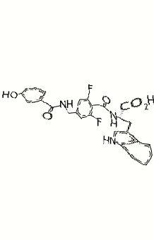 O=C(NCc1cc(F)c(C(=O)N[C@@H](Cc2c[nH]c3ccccc23)C(=O)O)c(F)c1)c1cccc(O)c1